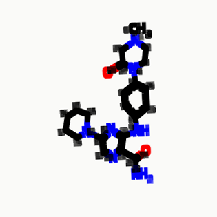 CN1CCN(c2ccc(Nc3nc(N4CCCCC4)cnc3C(N)=O)cc2)C(=O)C1